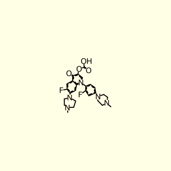 CN1CCN(c2ccc(-n3cc(OC(=O)O)c(=O)c4cc(F)c(N5CCN(C)CC5)cc43)c(F)c2)CC1